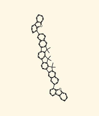 CC1(C)c2cc3ccc(-c4cccc5c4oc4ccccc45)cc3cc2-c2ccc3c(c21)C(C)(C)c1c-3ccc2c1C(C)(C)c1cc3ccc(-c4cccc5c4oc4ccccc45)cc3cc1-2